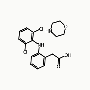 C1COCCN1.O=C(O)Cc1ccccc1Nc1c(Cl)cccc1Cl